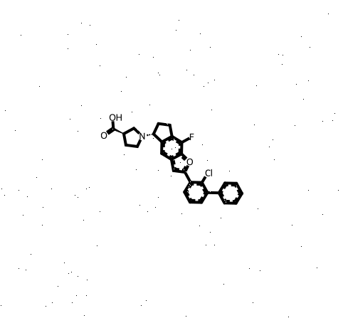 O=C(O)[C@@H]1CCN([C@@H]2CCc3c2cc2cc(-c4cccc(-c5ccccc5)c4Cl)oc2c3F)C1